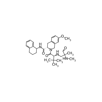 CNC(C)(C=O)CN[C@H](C(=O)N1Cc2cc(OC)ccc2C[C@H]1C(=O)NC1CCCc2ccccc21)C(C)(C)C